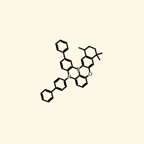 CC1CCC(C)(C)c2cc3c(cc21)B1c2cc(-c4ccccc4)ccc2N(c2ccc(-c4ccccc4)cc2)c2cccc(c21)O3